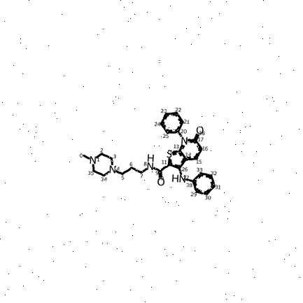 CN1CCN(CCCNC(=O)c2sc3c(ccc(=O)n3-c3ccccc3)c2Nc2ccccc2)CC1